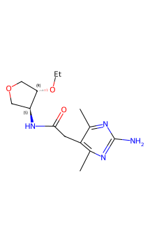 CCO[C@H]1COC[C@@H]1NC(=O)Cc1c(C)nc(N)nc1C